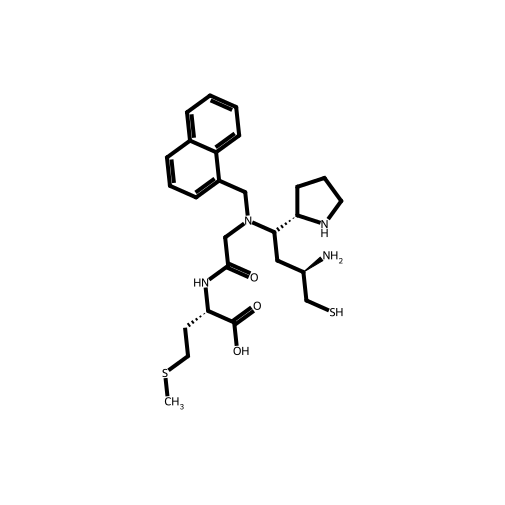 CSCC[C@H](NC(=O)CN(Cc1cccc2ccccc12)C(C[C@@H](N)CS)[C@@H]1CCCN1)C(=O)O